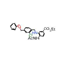 CCOC(=O)c1ccc(NC(C)=O)c(NCc2ccc(COc3ccccc3)cc2Cl)c1